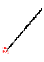 CCCCCCCCCCCCCCCCCCCCCCCCCCCCCCCCCCCCC(O)C(=O)O